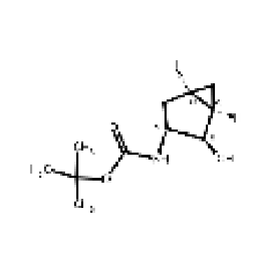 CC(C)(C)OC(=O)N[C@H]1C[C@H]2C[C@H]2[C@H]1O